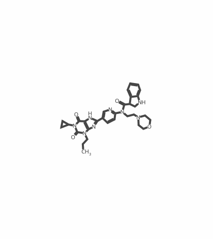 CCCn1c(=O)n(C2CC2)c(=O)c2[nH]c(-c3ccc(N(CCN4CCOCC4)C(=O)C4CNc5ccccc54)nc3)nc21